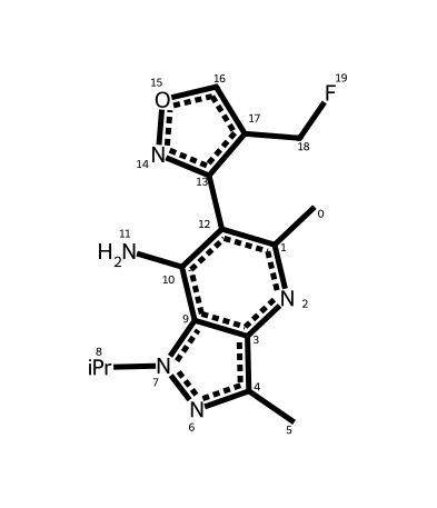 Cc1nc2c(C)nn(C(C)C)c2c(N)c1-c1nocc1CF